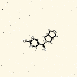 O=C(c1cnc(Cl)nc1)N1CC2COCC2C1